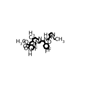 CCn1nccc1C(=O)N[C@H](c1cn2nc(CC3(C(=O)OC)CC(F)(F)CNC3=O)c(C)cc2n1)C1CCC(F)(F)CC1